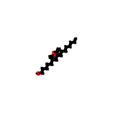 C=COC=C.CCCCCCCCCCCCCCCC[O]